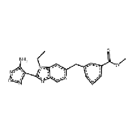 CCn1c(-c2nonc2N)nc2cnc(Cc3cccc(C(=O)OC)c3)cc21